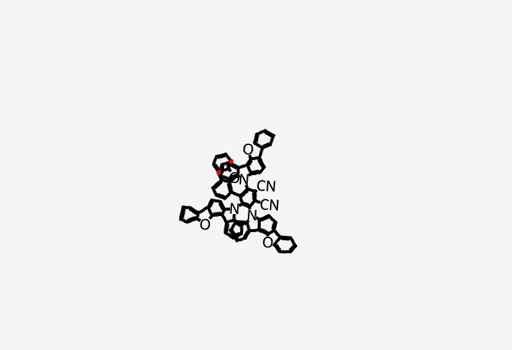 N#Cc1c(C#N)c(-n2c3ccccc3c3c4oc5ccccc5c4ccc32)c(-n2c3ccccc3c3c4oc5ccccc5c4ccc32)c(-c2cccc3c2oc2ccccc23)c1-n1c2ccccc2c2c3oc4ccccc4c3ccc21